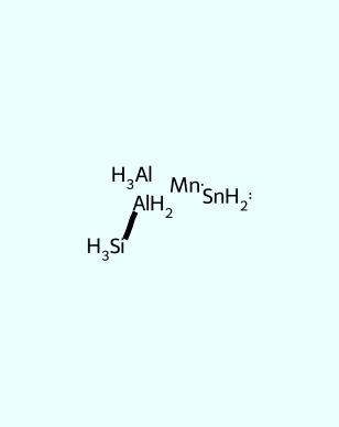 [AlH2][SiH3].[AlH3].[Mn].[SnH2]